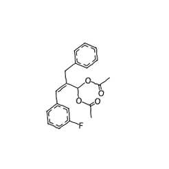 CC(=O)OC(OC(C)=O)C(=Cc1cccc(F)c1)Cc1ccccc1